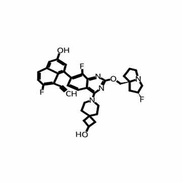 C#Cc1c(F)ccc2cc(O)cc(-c3ccc4c(N5CCC6(CC5)CC(O)C6)nc(OC[C@@]56CCCN5C[C@H](F)C6)nc4c3F)c12